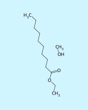 CCCCCCCCCC(=O)OCC.CO